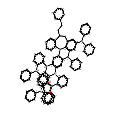 c1ccc(CCC2Cc3cc(N(c4ccccc4)c4ccccc4)cc4c3B(c3ccccc32)c2cc3c(cc2N4c2ccccc2)N(c2ccccc2-n2c4ccccc4c4ccccc42)c2nc(N(c4ccccc4)c4ccccc4)cc4c2B3c2ccccc2N4c2ccccc2)cc1